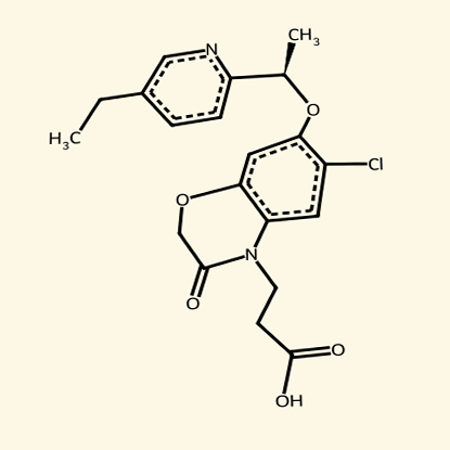 CCc1ccc([C@@H](C)Oc2cc3c(cc2Cl)N(CCC(=O)O)C(=O)CO3)nc1